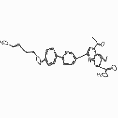 CC(=O)c1cc(-c2ccc(-c3ccc(OCCCCO)cc3)cc2)nc2cc(C(=O)O)ncc12